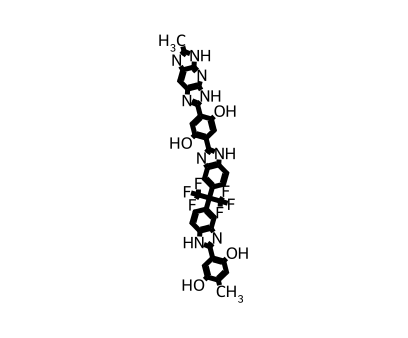 Cc1nc2cc3nc(-c4cc(O)c(-c5nc6cc(C(c7ccc8[nH]c(-c9cc(O)c(C)cc9O)nc8c7)(C(F)(F)F)C(F)(F)F)ccc6[nH]5)cc4O)[nH]c3nc2[nH]1